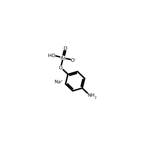 Nc1ccc(O[As](=O)([O-])O)cc1.[Na+]